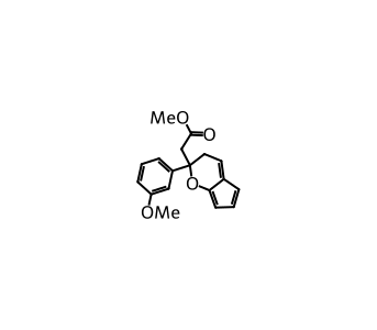 COC(=O)CC1(c2cccc(OC)c2)CC=C2C=CC=C2O1